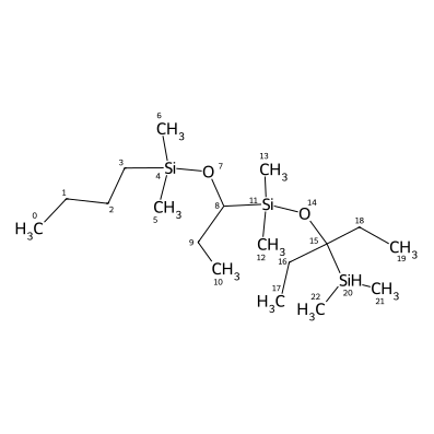 CCCC[Si](C)(C)OC(CC)[Si](C)(C)OC(CC)(CC)[SiH](C)C